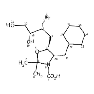 CC(C)[C@H](C[C@@H]1OC(C)(C)N(C(=O)O)[C@H]1CC1CCCCC1)[C@H](O)CO